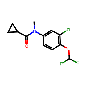 CN(C(=O)C1CC1)c1ccc(OC(F)F)c(Cl)c1